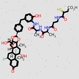 C[C@H](NC(=O)CCNC(=O)C(S)CC(=O)O)C(=O)N[C@@H](C)C(=O)Nc1cc(Cc2ccc([C@@H]3O[C@@H]4C[C@H]5[C@@H]6C[C@H](F)C7=CC(=O)C=C[C@]7(C)[C@@]6(F)[C@@H](O)C[C@]5(C)[C@]4(C(=O)CO)O3)cc2)ccc1O